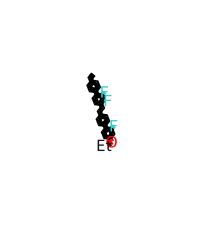 C=Cc1ccc(-c2ccc(CCc3ccc(C4=CCC(OCC)C=C4F)cc3)c(F)c2F)cc1